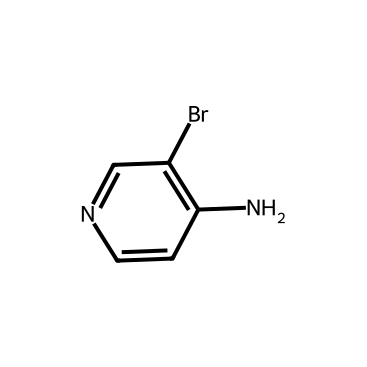 Nc1ccncc1Br